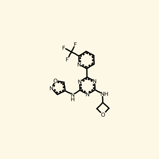 FC(F)(F)c1cccc(-c2nc(Nc3cnoc3)nc(NC3COC3)n2)n1